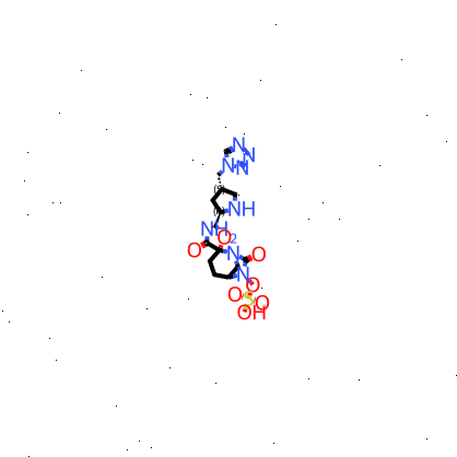 NC(=O)C1(OC[C@H]2C[C@H](Cn3cnnn3)CN2)CCC2CN1C(=O)N2OS(=O)(=O)O